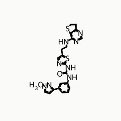 Cn1ccc(-c2cccc(NC(=O)Nc3ncc(CCNc4ncnc5c4SCC5)s3)c2)n1